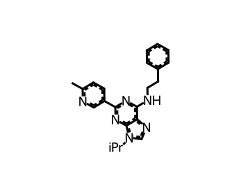 Cc1ccc(-c2nc(NCCc3ccccc3)c3ncn(C(C)C)c3n2)cn1